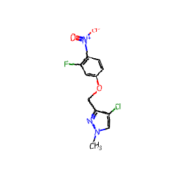 Cn1cc(Cl)c(COc2ccc([N+](=O)[O-])c(F)c2)n1